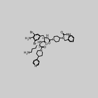 NCCCC[C@H](NC(=O)[C@@H](Cc1cc(Br)c(N)c(Br)c1)NC(=O)N1CCC(N2Cc3ccccc3NC2=O)CC1)C(=O)N1CCC(c2ccncc2)CC1